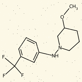 COC1CCCN(Nc2cccc(C(F)(F)F)c2)C1